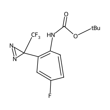 CC(C)(C)OC(=O)Nc1ccc(F)cc1C1(C(F)(F)F)N=N1